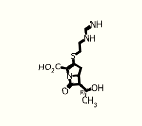 C[C@@H](O)C1C(=O)N2C(C(=O)O)=C(SCCNC=N)CC12